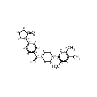 Cc1cc(C)c(N2CCN(C(=O)c3ccc(N4CCCC4=O)cc3)CC2)nc1C